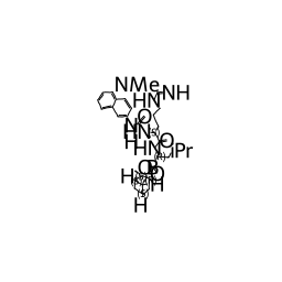 CNC(=N)NCCC[C@H](NC(=O)Nc1ccc2ccccc2c1)C(=O)N[C@@H](CC(C)C)B1O[C@@H]2C[C@@H]3C[C@@H](C3(C)C)[C@]2(C)O1